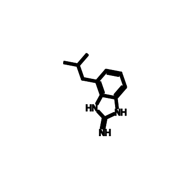 CC(C)Cc1cccc2[nH]c(=N)[nH]c12